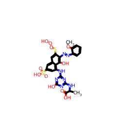 COc1ccccc1N=Nc1c(SOOO)cc2cc(S(=O)(=O)O)cc(Nc3nc(O)nc(NC(C)C(=O)O)n3)c2c1O